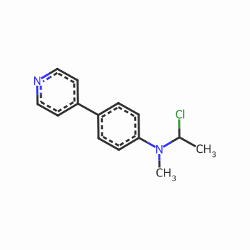 CC(Cl)N(C)c1ccc(-c2ccncc2)cc1